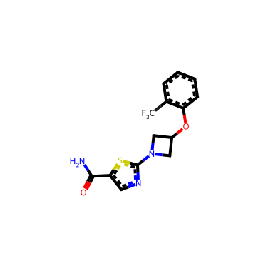 NC(=O)c1cnc(N2CC(Oc3ccccc3C(F)(F)F)C2)s1